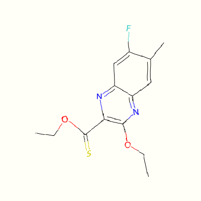 CCOC(=S)c1nc2cc(F)c(C)cc2nc1OCC